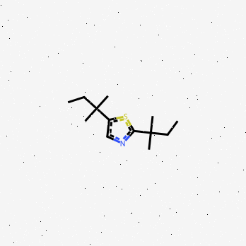 CCC(C)(C)c1cnc(C(C)(C)CC)s1